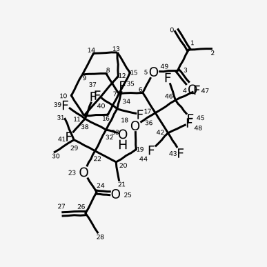 C=C(C)C(=O)OC(C12CC3CC(CC(C3)C1)C2)C(OCC(C)C(OC(=O)C(=C)C)(C(C)C)C(O)(C(F)(F)F)C(F)(F)F)(C(F)(F)F)C(F)(F)F